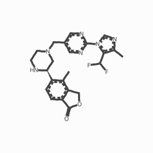 Cc1ncn(-c2ncc(CN3CCN[C@H](c4ccc5c(c4C)COC5=O)C3)cn2)c1C(F)F